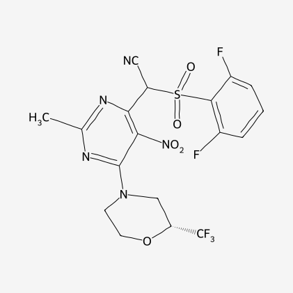 Cc1nc(C(C#N)S(=O)(=O)c2c(F)cccc2F)c([N+](=O)[O-])c(N2CCO[C@@H](C(F)(F)F)C2)n1